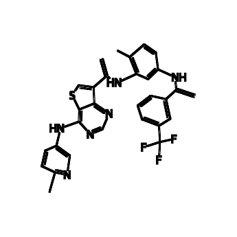 C=C(Nc1ccc(C)c(NC(=C)c2csc3c(Nc4ccc(C)nc4)ncnc23)c1)c1cccc(C(F)(F)F)c1